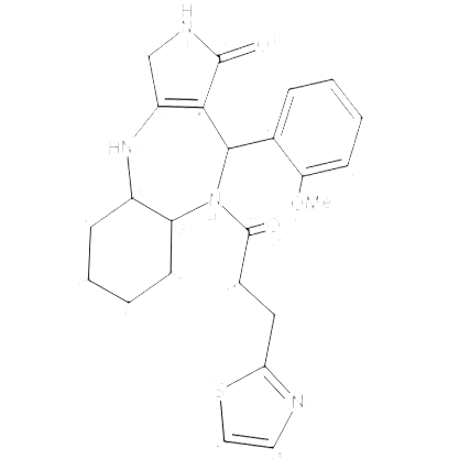 COc1ccccc1C1C2=C(CNC2=O)NC2CCCCC2N1C(=O)CCc1nccs1